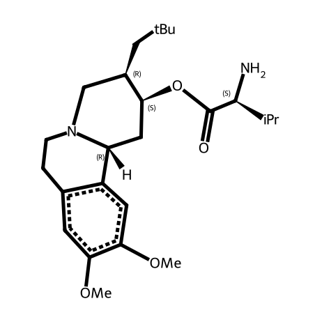 COc1cc2c(cc1OC)[C@H]1C[C@H](OC(=O)[C@@H](N)C(C)C)[C@H](CC(C)(C)C)CN1CC2